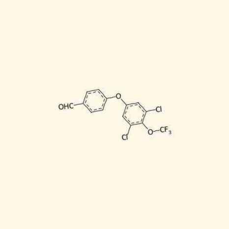 O=Cc1ccc(Oc2cc(Cl)c(OC(F)(F)F)c(Cl)c2)cc1